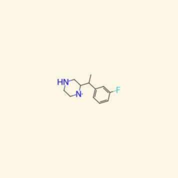 CC(c1cccc(F)c1)C1CNCC[N]1